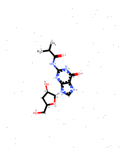 CC(C)C(=O)Nc1nc2c(ncn2[C@@H]2OC(CO)C[C@H]2O)c(=O)[nH]1